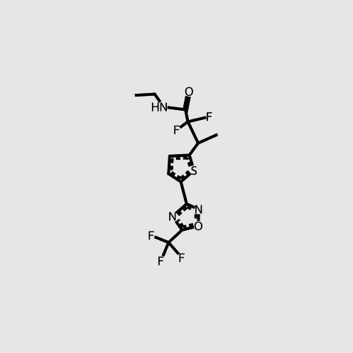 CCNC(=O)C(F)(F)C(C)c1ccc(-c2noc(C(F)(F)F)n2)s1